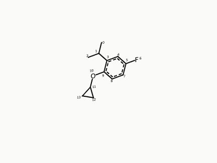 CC(C)c1cc(F)ccc1OC1CC1